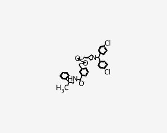 CC(CNC(=O)c1cccc(CS(=O)(=O)C=C2CN(C(c3ccc(Cl)cc3)c3ccc(Cl)cc3)C2)c1)c1ccccc1